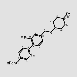 CCCCCc1ccc(-c2ccc(CCC3CCC(CC)CC3)cc2F)nc1